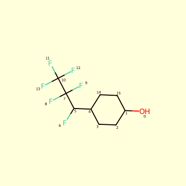 OC1CCC(C(F)C(F)(F)C(F)(F)F)CC1